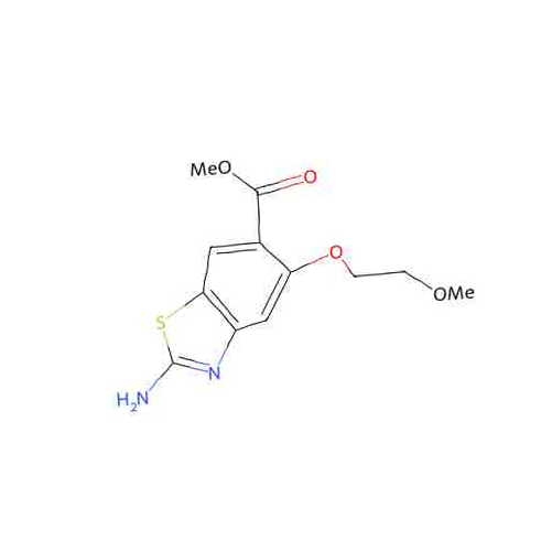 COCCOc1cc2nc(N)sc2cc1C(=O)OC